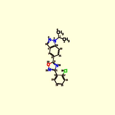 CC(C)n1ncc2cc(-c3nc(-c4ccccc4Cl)no3)ccc21